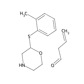 C=CCC=O.Cc1ccccc1SC1CNCCO1